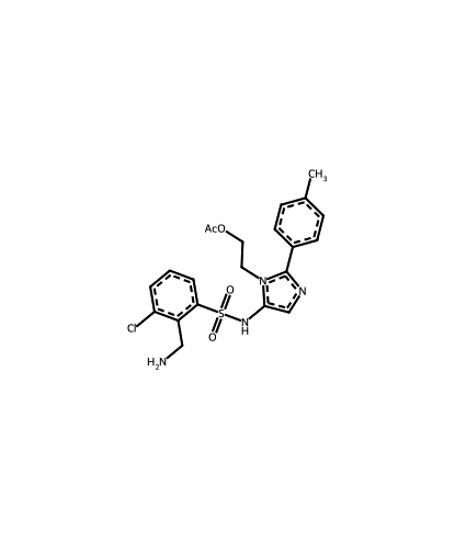 CC(=O)OCCn1c(NS(=O)(=O)c2cccc(Cl)c2CN)cnc1-c1ccc(C)cc1